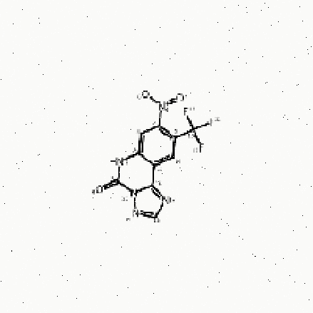 O=c1[nH]c2cc([N+](=O)[O-])c(C(F)(F)F)cc2c2ncnn12